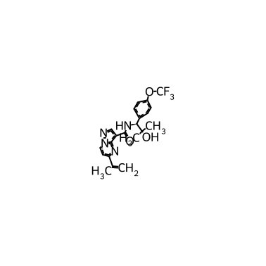 C=C(C)c1ccn2ncc(C(=O)N[C@@H](c3ccc(OC(F)(F)F)cc3)C(C)(C)O)c2n1